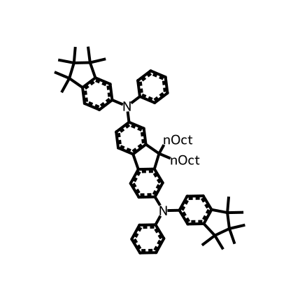 CCCCCCCCC1(CCCCCCCC)c2cc(N(c3ccccc3)c3ccc4c(c3)C(C)(C)C(C)(C)C4(C)C)ccc2-c2ccc(N(c3ccccc3)c3ccc4c(c3)C(C)(C)C(C)(C)C4(C)C)cc21